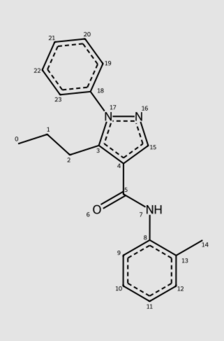 CCCc1c(C(=O)Nc2ccccc2C)cnn1-c1ccccc1